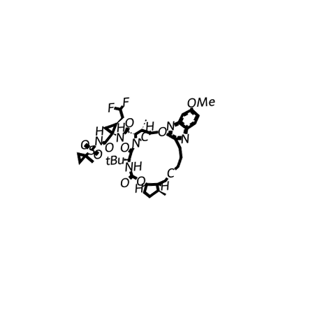 COc1ccc2nc3c(nc2c1)O[C@H]1CN(C(=O)[C@H](C(C)(C)C)NC(=O)O[C@@H]2CC[C@H](C)[C@H]2CCCCC3)[C@H](C(=O)N[C@]2(C(=O)NS(=O)(=O)C3(C)CC3)C[C@H]2CC(F)F)[C@@H]1C